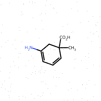 CC1(C(=O)O)C=CC=C(N)C1